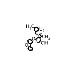 Cc1cccc(Cn2c(C)c(C)c3ccnc(Oc4ccc5oc6ccccc6c5c4)c32)c1.Cl